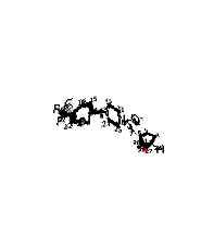 CC1(C)[C@H]2CC[C@]1(C[S+]([O-])N1CCN(c3ccc(C(F)(F)F)cn3)CC1)CC2